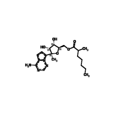 CCCCCC(C)C(=O)OC[C@H]1O[C@@](C)(c2ccc3c(N)ncnn23)[C@H](O)[C@@H]1O